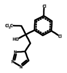 OC(CC1C=NN=N1)(CC(Cl)(Cl)Cl)c1cc(Cl)cc(Cl)c1